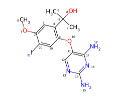 COc1cc(C(C)(C)O)c(Oc2cnc(N)nc2N)cc1I